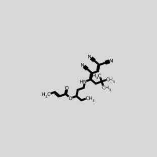 C/C=C/C(=O)OC(CC)CCN/C(CC(C)(C)C)=C(\C#N)C=C(C#N)C#N